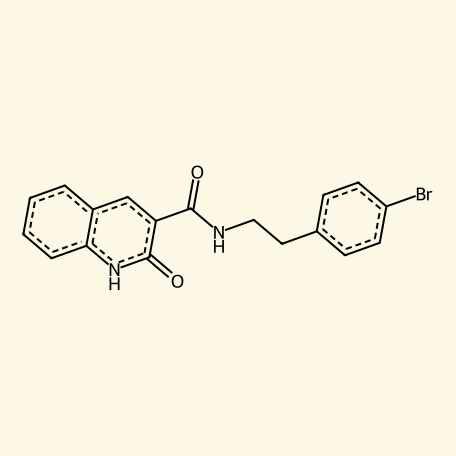 O=C(NCCc1ccc(Br)cc1)c1cc2ccccc2[nH]c1=O